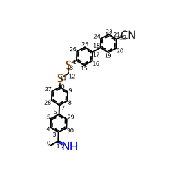 CC(=N)c1ccc(-c2ccc(SCSc3ccc(-c4ccc(C#N)cc4)cc3)cc2)cc1